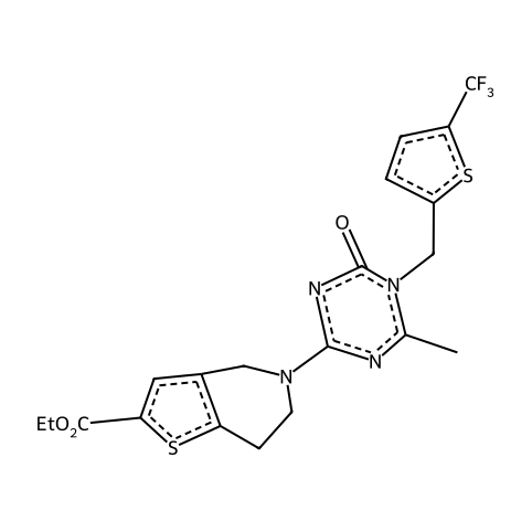 CCOC(=O)c1cc2c(s1)CCN(c1nc(C)n(Cc3ccc(C(F)(F)F)s3)c(=O)n1)C2